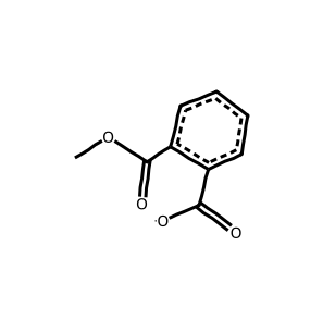 COC(=O)c1ccccc1C([O])=O